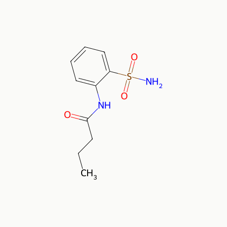 CCCC(=O)Nc1ccccc1S(N)(=O)=O